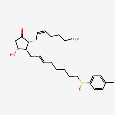 Cc1ccc([S+]([O-])CCCCC/C=C/C[C@H]2[C@H](O)CC(=O)[C@@H]2C/C=C\CCCC(=O)O)cc1